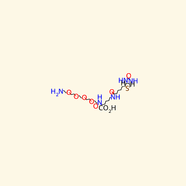 NCCOCCOCCOCCOCC(=O)N[C@@H](CCCCNC(=O)CCCC[C@@H]1SC[C@@H]2NC(=O)N[C@@H]21)C(=O)O